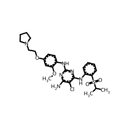 COc1cc(OCCN2CCCC2)ccc1Nc1nc(N)c(Cl)c(Nc2ccccc2S(=O)(=O)C(C)C)n1